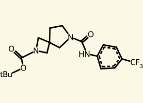 CC(C)(C)OC(=O)N1CC2(CCN(C(=O)Nc3ccc(C(F)(F)F)cc3)C2)C1